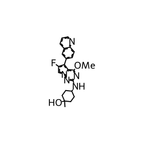 COc1nc(NC2CCC(C)(O)CC2)nn2cc(F)c(-c3ccc4ncccc4c3)c12